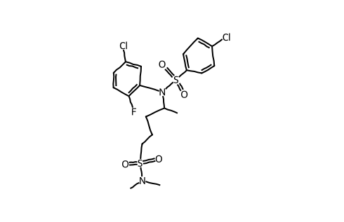 CC(CCCS(=O)(=O)N(C)C)N(c1cc(Cl)ccc1F)S(=O)(=O)c1ccc(Cl)cc1